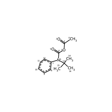 CC(=O)OC(=O)N(c1ccccc1)C(C)(C)C